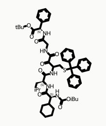 CC(C)COC(=O)N[C@H](C(=O)N[C@@H](CC(C)C)C(=O)NC(CSC(c1ccccc1)(c1ccccc1)c1ccccc1)C(=O)C(=O)NCC(=O)N[C@H](C(=O)OC(C)(C)C)c1ccccc1)C1CCCCC1